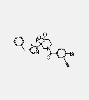 C#Cc1cc(C(=O)N2CCS(=O)(=O)C(F)(c3ncc(Cc4ccccc4)s3)C2)ccc1Br